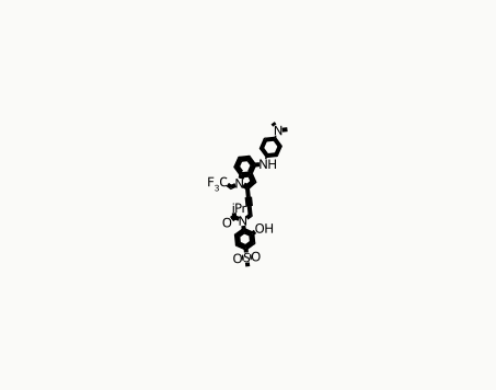 CC(C)C(=O)N(CC#Cc1cc2c(N[C@H]3CC[C@@H](N(C)C)CC3)cccc2n1CC(F)(F)F)c1ccc(S(C)(=O)=O)cc1O